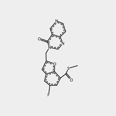 CSC(=O)c1cc(F)cc2cc(Cn3cnc4ccncc4c3=O)oc12